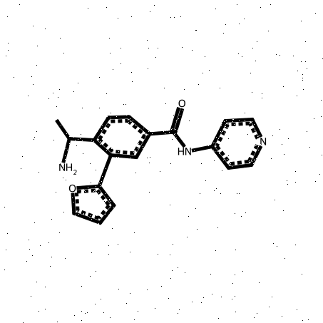 CC(N)c1ccc(C(=O)Nc2ccncc2)cc1-c1ccco1